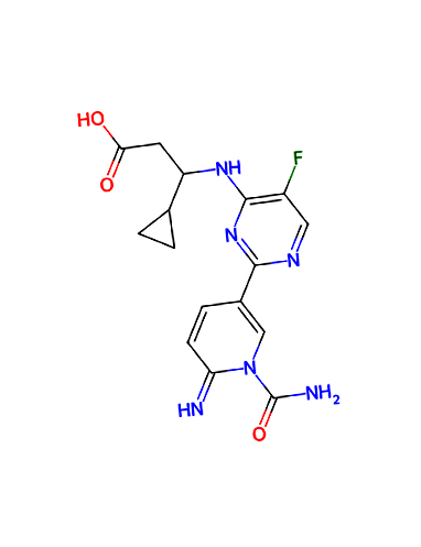 N=c1ccc(-c2ncc(F)c(NC(CC(=O)O)C3CC3)n2)cn1C(N)=O